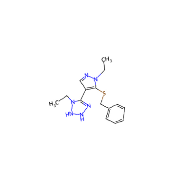 CCN1NNN=C1c1cnn(CC)c1SCc1ccccc1